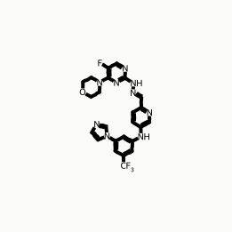 Fc1cnc(N/N=C/c2ccc(Nc3cc(-n4ccnc4)cc(C(F)(F)F)c3)cn2)nc1N1CCOCC1